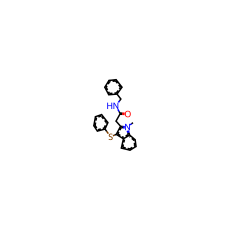 Cn1c(CC(=O)NCc2ccccc2)c(Sc2ccccc2)c2ccccc21